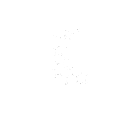 CCn1c(-c2cnc(C)nc2)nc2c(OC3CCN(C(=O)N4CC(O)C4)C3)ncnc21